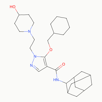 O=C(NC1C2CC3CC(C2)CC1C3)c1cnn(CCN2CCC(O)CC2)c1OCC1CCCCC1